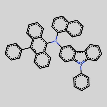 c1ccc(-c2c3ccccc3c(N(c3ccc4c(c3)c3ccccc3n4-c3ccccc3)c3cccc4ccccc34)c3ccccc23)cc1